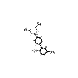 Nc1ccc(N)c(-c2ccc(N(CCO)CCO)cc2)c1